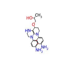 CC(O)COC1CCN(c2ccc(N)cc2)C2=C1NCCN2c1ccc(N)cc1